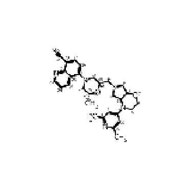 Cc1cc(N2CCOC3CN(C[C@@H]4CN(c5ccc(C#N)c6ncccc56)C[C@@H](C)O4)CC32)cc(C)n1